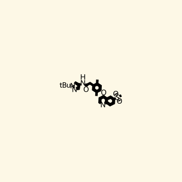 Cc1cc(Oc2ccnc3ccc(S(C)(=O)=O)cc23)c(C)cc1CC(=O)Nc1cnn(C(C)(C)C)c1